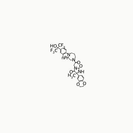 CCCc1cc(C(O)(C(F)(F)F)C(F)(F)F)ccc1N1CCCN(C(=O)CN2C(=O)NC(C)(c3ccc4c(c3)OCCO4)C2=O)CC1